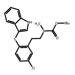 CN(CCc1cc(Cl)ccc1Sc1c[nH]c2ccccc12)C(=O)OC(C)(C)C